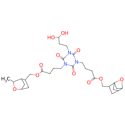 CC1OC2CC(COC(=O)CCCn3c(=O)n(CCCC(=O)OCC4CC5CC46CC5O6)c(=O)n(CCC(O)O)c3=O)C1C2